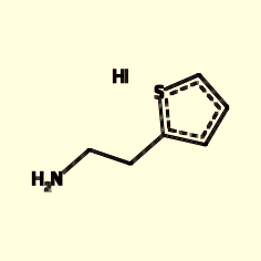 I.NCCc1cccs1